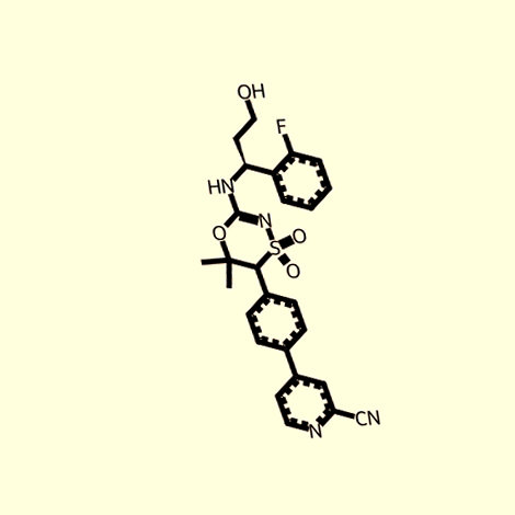 CC1(C)OC(N[C@@H](CCO)c2ccccc2F)=NS(=O)(=O)C1c1ccc(-c2ccnc(C#N)c2)cc1